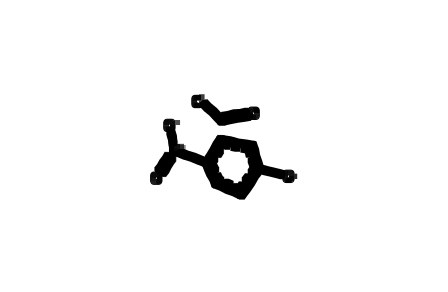 O=CCl.[O]c1ccc([N+](=O)[O-])cc1